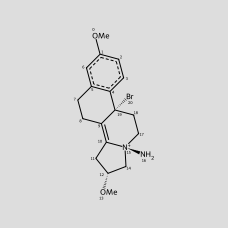 COc1ccc2c(c1)CCC1=C3C[C@@H](OC)C[N@@+]3(N)CC[C@@]12Br